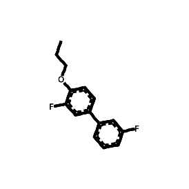 CCCOc1ccc(-c2cccc(F)c2)cc1F